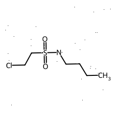 CCCC[N]S(=O)(=O)CCCl